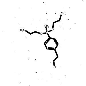 CCCO[Si](C)(OCCC)c1ccc(CCCl)cc1